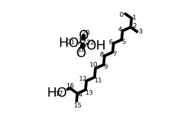 CCC(C)CCCCCCCCCCC(C)CO.O=S(=O)(O)O